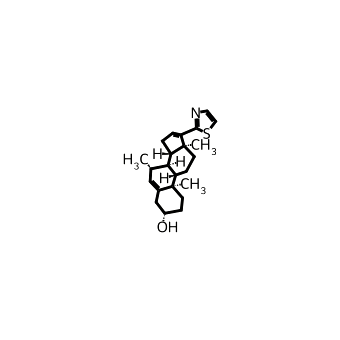 C[C@H]1C=C2C[C@@H](O)CC[C@]2(C)[C@H]2CC[C@]3(C)C(c4nccs4)=CC[C@H]3[C@H]12